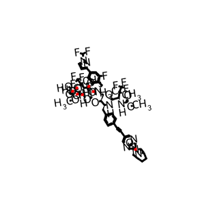 COC(=O)N[C@H](C(=O)N[C@@H](Cc1ccc(C#Cc2cnc(N3CC4CCC(C3)N4C3COC3)nc2)cc1)[C@H](CN(Cc1c(F)cc(-c2ccn(C(F)F)n2)cc1F)NC(=O)[C@@H](NC(=O)OC)C(C)(C)C(F)(F)F)OC(=O)OCOP(=O)(O)O)C(C)(C)C(F)(F)F